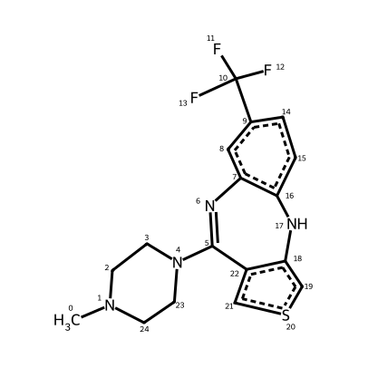 CN1CCN(C2=Nc3cc(C(F)(F)F)ccc3Nc3cscc32)CC1